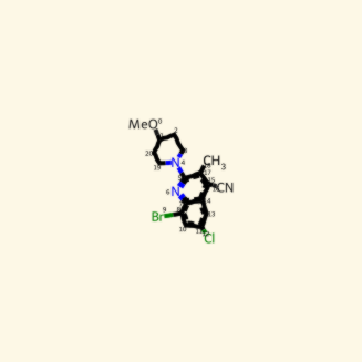 COC1CCN(c2nc3c(Br)cc(Cl)cc3c(C#N)c2C)CC1